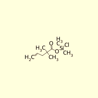 C=CCC(C)(C)C(=O)O[Si](C)(C)Cl